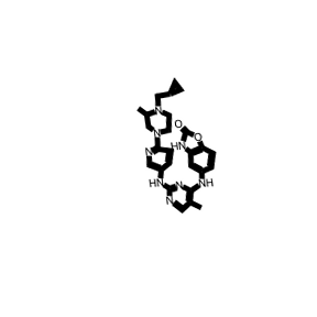 Cc1cnc(Nc2ccc(N3CCN(CC4CC4)C(C)C3)nc2)nc1Nc1ccc2oc(=O)[nH]c2c1